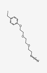 [N-]=[N+]=NCCOCCOCCOc1ccc(CI)cc1